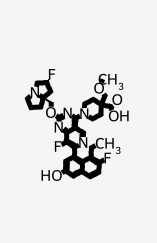 CCc1c(F)ccc2cc(O)cc(-c3ncc4c(N5CCC(COC)(C(=O)O)CC5)nc(OC[C@@]56CCCN5C[C@H](F)C6)nc4c3F)c12